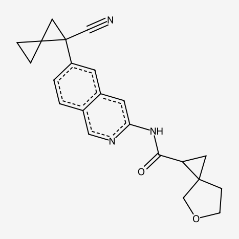 N#CC1(c2ccc3cnc(NC(=O)C4CC45CCOC5)cc3c2)CC12CC2